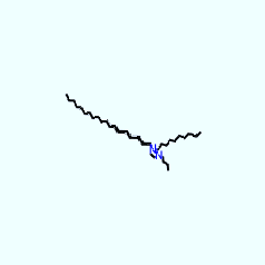 CCCCCCCCCCCCCCCCCCCN1C=CN(CCCC)C1CCCCCCCCC